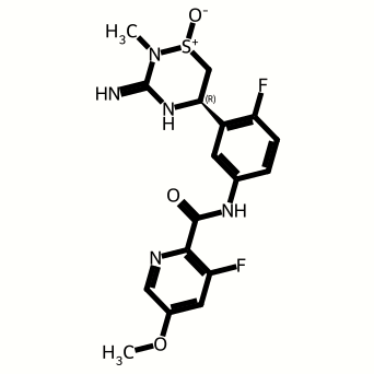 COc1cnc(C(=O)Nc2ccc(F)c([C@@H]3C[S+]([O-])N(C)C(=N)N3)c2)c(F)c1